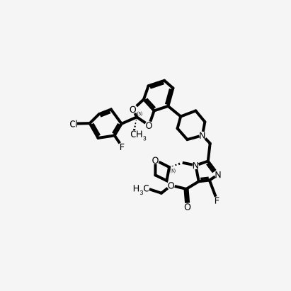 CCOC(=O)c1c(F)nc(CN2CCC(c3cccc4c3O[C@@](C)(c3ccc(Cl)cc3F)O4)CC2)n1C[C@@H]1CCO1